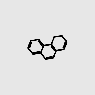 C1=Cc2ccc3ccccc3c2CC1